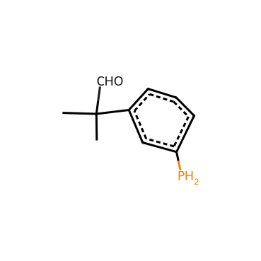 CC(C)(C=O)c1cccc(P)c1